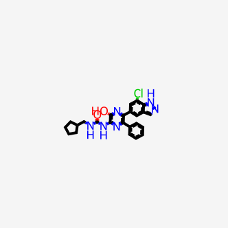 O=C(NCC1CCCC1)Nc1nc(-c2ccccc2)c(-c2cc(Cl)c3[nH]ncc3c2)nc1O